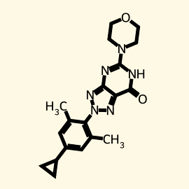 Cc1cc(C2CC2)cc(C)c1-n1nc2nc(N3CCOCC3)[nH]c(=O)c2n1